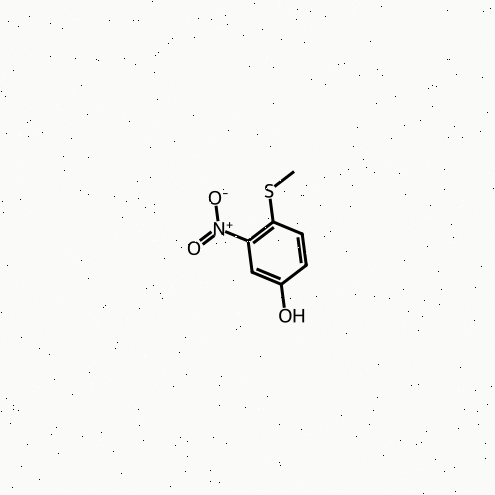 CSc1ccc(O)cc1[N+](=O)[O-]